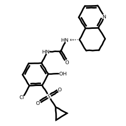 O=C(Nc1ccc(Cl)c(S(=O)(=O)C2CC2)c1O)N[C@H]1CCCc2ncccc21